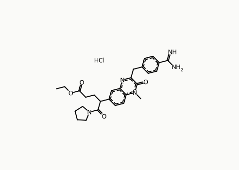 CCOC(=O)CCC(C(=O)N1CCCC1)c1ccc2c(c1)nc(Cc1ccc(C(=N)N)cc1)c(=O)n2C.Cl